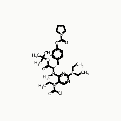 CCN(CC)c1ncc(N(CC)C(=O)Cl)c(N(C)[C@@H](Cc2ccc(OC(=O)N3CCCC3)cc2)C(=O)OC(C)(C)C)n1